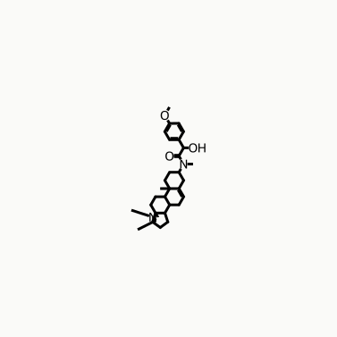 COc1ccc(C(O)C(=O)N(C)C2CCC3(C)C(=CCC4C3CCC35CN(C)C(C)C3CCC45)C2)cc1